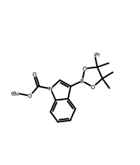 CC(C)C1(C)OB(c2cn(C(=O)OC(C)(C)C)c3ccccc23)OC1(C)C